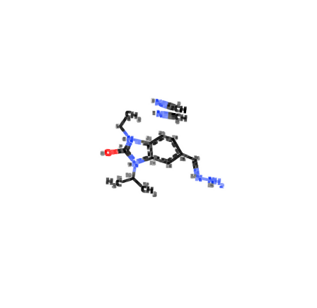 C#N.C#N.CCn1c(=O)n(C(C)C)c2cc(C=NN)ccc21